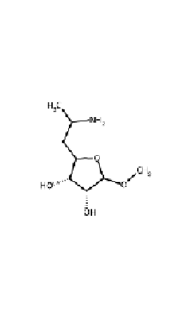 COC1OC(CC(C)N)[C@@H](O)[C@H]1O